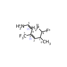 CC(/C=C(\C=C/N)C(F)(F)F)C(F)P